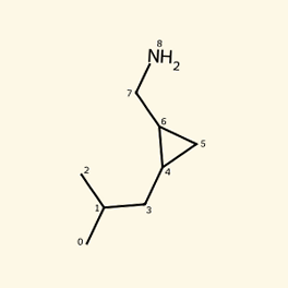 CC(C)CC1CC1CN